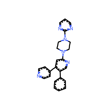 c1ccc(-c2cnc(N3CCN(c4ncccn4)CC3)cc2-c2ccncc2)cc1